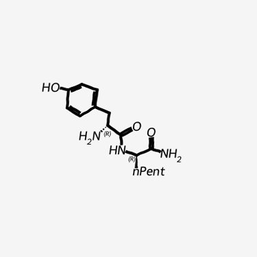 CCCCC[C@@H](NC(=O)[C@H](N)Cc1ccc(O)cc1)C(N)=O